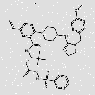 COc1ccc(CN2CCN=C2NC2CCN(c3ccc(C=O)cc3C(=O)N[C@@H](CC(=O)ONS(=O)(=O)c3ccccc3)C(C)(C)C)CC2)cc1